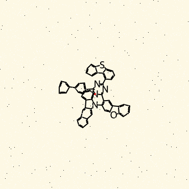 c1ccc(-c2ccc(-c3nc(-c4cc5c(cc4-n4c6ccccc6c6cc7ccccc7cc64)oc4ccccc45)nc(-c4cccc5sc6ccccc6c45)n3)cc2)cc1